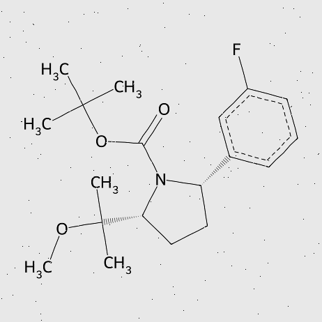 COC(C)(C)[C@H]1CC[C@@H](c2cccc(F)c2)N1C(=O)OC(C)(C)C